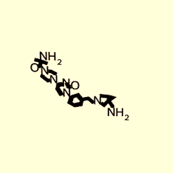 CC(C)(N)C(=O)N1CCN(c2ccn(-c3cccc(CCN4CC5CC5(CN)C4)c3)c(=O)n2)CC1